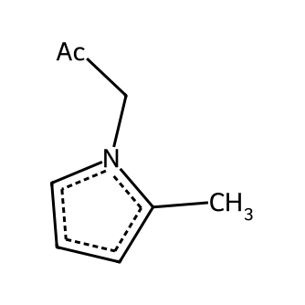 CC(=O)Cn1cccc1C